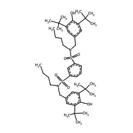 CCCCN(Cc1cc(C(C)(C)C)c(O)c(C(C)(C)C)c1)S(=O)(=O)c1cccc(S(=O)(=O)N(CCCC)Cc2cc(C(C)(C)C)c(O)c(C(C)(C)C)c2)c1